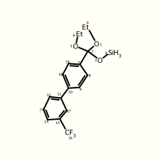 CCOC(O[SiH3])(OCC)c1ccc(-c2cccc(C(F)(F)F)c2)cc1